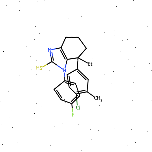 CCC1(c2ccc(Cl)c(C)c2)CCCc2nc(S)n(-c3ccc(F)cc3)c21